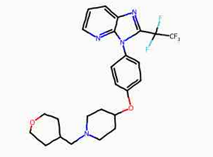 FC(F)(F)C(F)(F)c1nc2cccnc2n1-c1ccc(OC2CCN(CC3CCOCC3)CC2)cc1